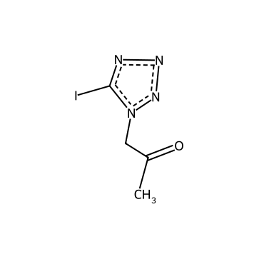 CC(=O)Cn1nnnc1I